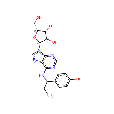 CCC(Nc1ncnc2c1ncn2[C@@H]1O[C@H](CO)C(O)C1O)c1ccc(O)cc1